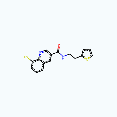 O=C(NCCc1cccs1)c1cnc2c(S)cccc2c1